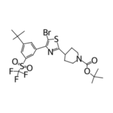 CC(C)(C)OC(=O)N1CCC(c2nc(-c3cc(C(C)(C)C)cc(S(=O)(=O)C(F)(F)F)c3)c(Br)s2)CC1